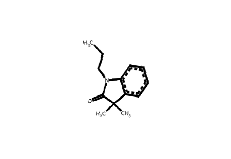 CCCN1C(=O)C(C)(C)c2ccccc21